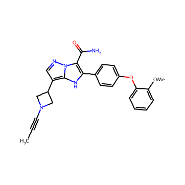 CC#CN1CC(c2cnn3c(C(N)=O)c(-c4ccc(Oc5ccccc5OC)cc4)[nH]c23)C1